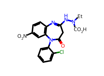 CCN(NC1=Nc2ccc([N+](=O)[O-])cc2N(c2ccccc2Cl)C(=O)C1)C(=O)O